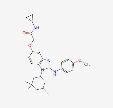 CC1CC(n2c(Nc3ccc(OC(F)(F)F)cc3)nc3cc(OCC(=O)NC4CC4)ccc32)CC(C)(C)C1